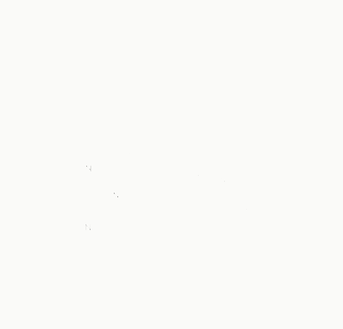 CCOC(c1ccc(OCc2ccc(C)cc2)cc1)c1nc2cc(F)cnc2[nH]1